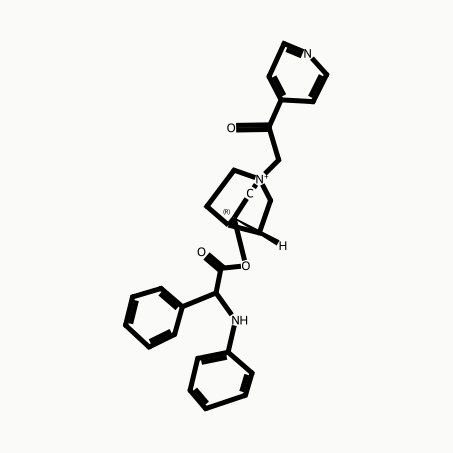 O=C(C[N+]12CCC(CC1)[C@@H](OC(=O)C(Nc1ccccc1)c1ccccc1)C2)c1ccncc1